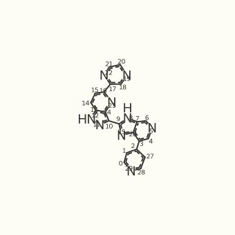 c1cc(-c2cncc3[nH]c(-c4n[nH]c5ccc(-c6cnccn6)nc45)nc23)ccn1